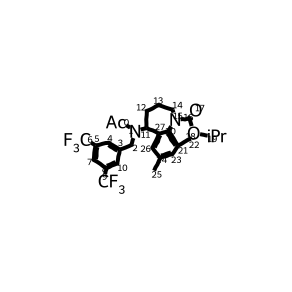 CC(=O)N(Cc1cc(C(F)(F)F)cc(C(F)(F)F)c1)C1CCCN(C(=O)OC(C)C)c2c(C)cc(C)cc21